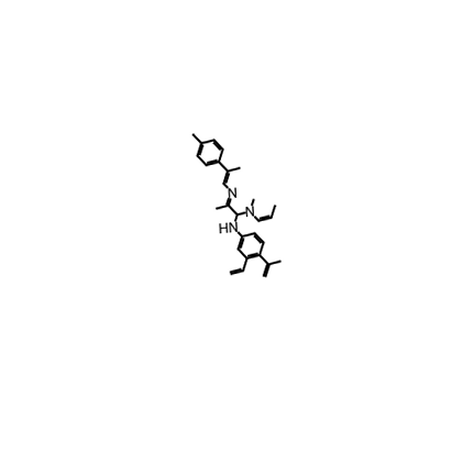 C=Cc1cc(NC(/C(C)=N/C=C(\C)c2ccc(C)cc2)N(C)/C=C\C)ccc1C(=C)C